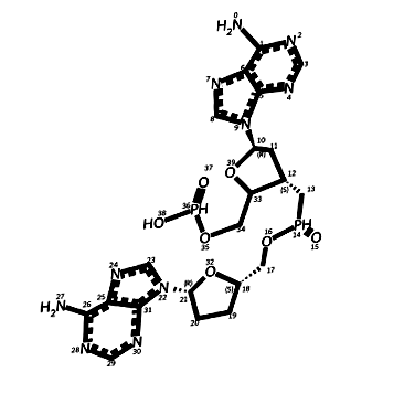 Nc1ncnc2c1ncn2[C@H]1C[C@H](C[PH](=O)OC[C@@H]2CC[C@H](n3cnc4c(N)ncnc43)O2)C(CO[PH](=O)O)O1